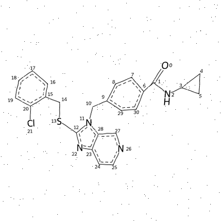 O=C(NC1CC1)c1ccc(Cn2c(SCc3ccccc3Cl)nc3ccncc32)cc1